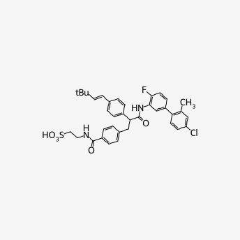 Cc1cc(Cl)ccc1-c1ccc(F)c(NC(=O)C(Cc2ccc(C(=O)NCCS(=O)(=O)O)cc2)c2ccc(/C=C/C(C)(C)C)cc2)c1